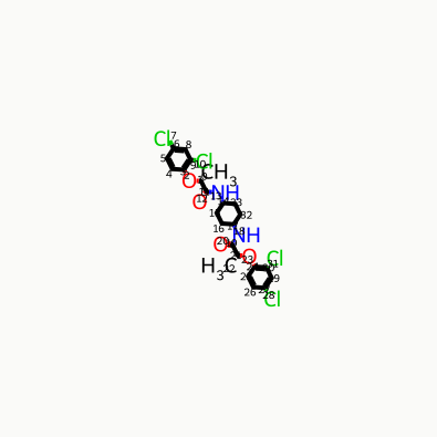 CC(Oc1ccc(Cl)cc1Cl)C(=O)NC1CCC(NC(=O)C(C)Oc2ccc(Cl)cc2Cl)CC1